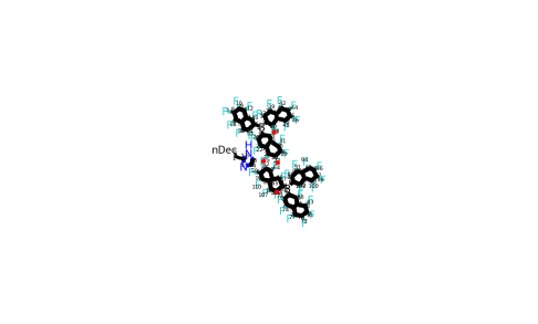 CCCCCCCCCCCc1ncc[nH]1.Fc1c(F)c(F)c2c(F)c(B(c3c(F)c(F)c4c(F)c(F)c(F)c(F)c4c3F)c3c(F)c(F)c4c(F)c(F)c(F)c(F)c4c3F)c(F)c(F)c2c1F.Fc1c(F)c(F)c2c(F)c(B(c3c(F)c(F)c4c(F)c(F)c(F)c(F)c4c3F)c3c(F)c(F)c4c(F)c(F)c(F)c(F)c4c3F)c(F)c(F)c2c1F